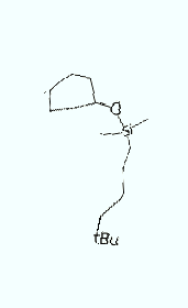 CC(C)(C)CCCC[Si](C)(C)OC1CC[CH]CC1